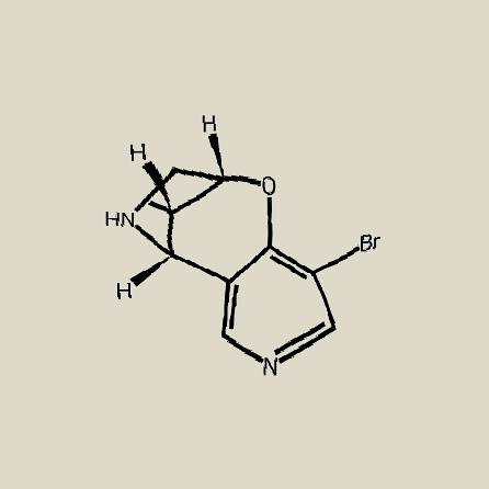 C[C@@H]1[C@@H]2CN[C@H]1c1cncc(Br)c1O2